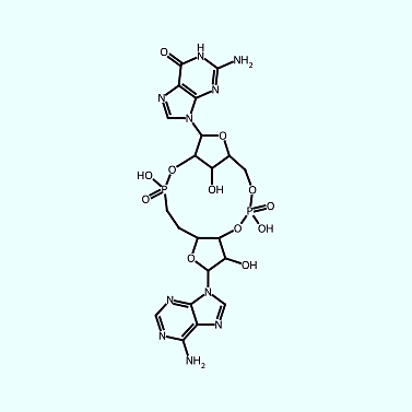 Nc1nc2c(ncn2C2OC3COP(=O)(O)OC4C(CCP(=O)(O)OC2C3O)OC(n2cnc3c(N)ncnc32)C4O)c(=O)[nH]1